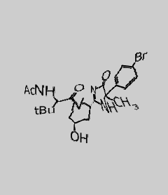 CC(=O)NC(C(=O)N1C[C@H](O)C[C@H]1C1=NC(=O)C(C)(c2ccc(Br)cc2)N1)C(C)(C)C